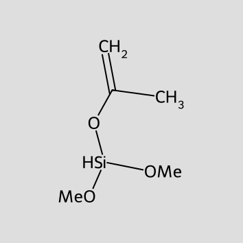 C=C(C)O[SiH](OC)OC